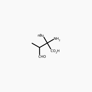 CCCCC(N)(C(=O)O)C(C)C=O